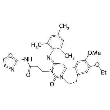 CCOc1cc2c(cc1OC)-c1c/c(=N\c3c(C)cc(C)cc3C)n(CCC(=O)Nc3ncco3)c(=O)n1CC2